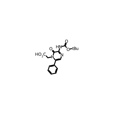 CC(C)(C)OC(=O)Nc1ncc(-c2ccccc2)n(CC(=O)O)c1=O